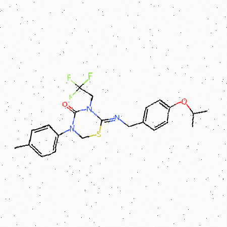 Cc1ccc(N2CSC(=NCc3ccc(OC(C)C)cc3)N(CC(F)(F)F)C2=O)cc1